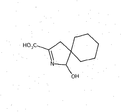 O=C(O)C1=NC(O)C2(CCCCC2)C1